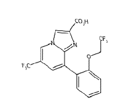 O=C(O)c1cn2cc(C(F)(F)F)cc(-c3ccccc3OCC(F)(F)F)c2n1